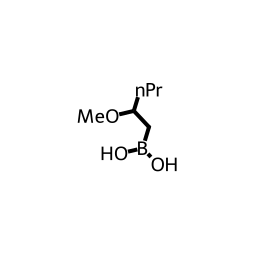 CCCC(CB(O)O)OC